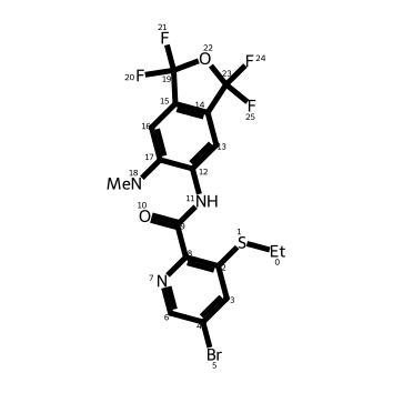 CCSc1cc(Br)cnc1C(=O)Nc1cc2c(cc1NC)C(F)(F)OC2(F)F